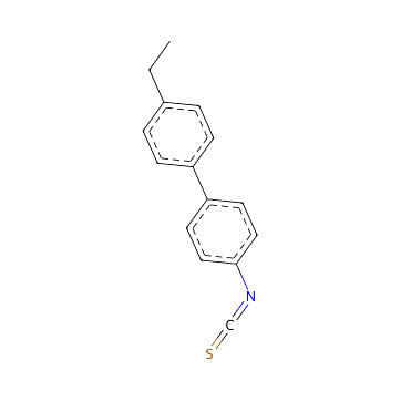 CCc1ccc(-c2ccc(N=C=S)cc2)cc1